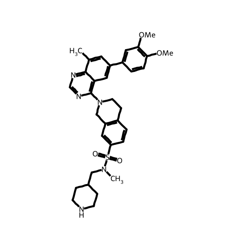 COc1ccc(-c2cc(C)c3ncnc(N4CCc5ccc(S(=O)(=O)N(C)CC6CCNCC6)cc5C4)c3c2)cc1OC